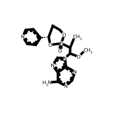 COC(C(C)P1(=O)OCC[C@@H](c2ccncc2)O1)n1cnc2c(N)ncnc21